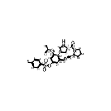 Cc1ccc(S(=O)(=O)Oc2cc(C)c([C@@H]3CN[C@H](C(=O)N4CCC[C@H]4C#N)C3)c(OC(C)C)c2)cc1